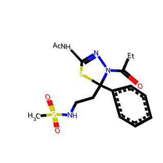 CCC(=O)N1N=C(NC(C)=O)SC1(CCNS(C)(=O)=O)c1ccccc1